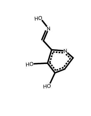 ON=Cc1nccc(O)c1O